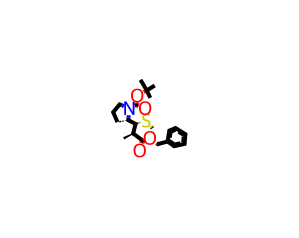 CS[C@H]([C@H](C)C(=O)OCc1ccccc1)[C@@H]1CCCN1C(=O)OC(C)(C)C